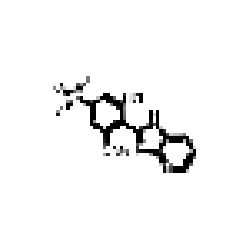 COc1cc(S(=O)(=O)Cl)ccc1-c1nc2ncccc2[nH]1.Cl